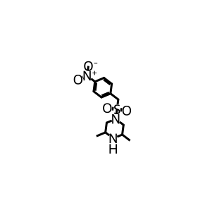 CC1CN(S(=O)(=O)Cc2ccc([N+](=O)[O-])cc2)CC(C)N1